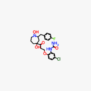 NC(=O)Nc1cc(Cl)ccc1OCCC(=O)C1(O)CCCN(O)C(Cc2ccc(F)cc2)C1